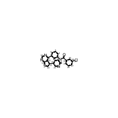 O=C(Nc1cccc(-c2ncnc3scc(-c4cccnc4)c23)c1)c1cccc(Cl)c1